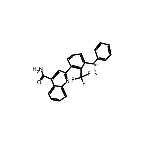 C[C@@H](c1ccccc1)c1cccc(-c2cc(C(N)=O)c3ccccc3n2)c1C(F)(F)F